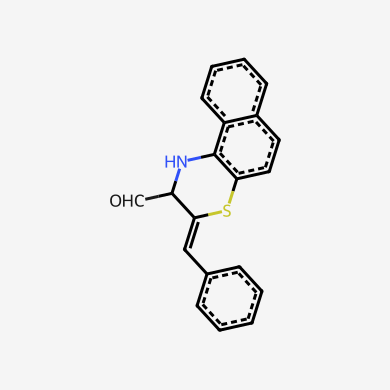 O=CC1Nc2c(ccc3ccccc23)SC1=Cc1ccccc1